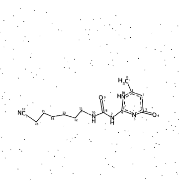 Cc1cc(=O)nc(NC(=O)NCCCCCCC#N)[nH]1